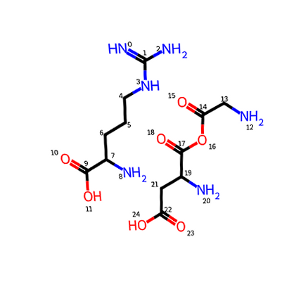 N=C(N)NCCCC(N)C(=O)O.NCC(=O)OC(=O)C(N)CC(=O)O